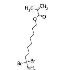 C=C(C)C(=O)OCCCCCCCCC([SiH3])(Br)Br